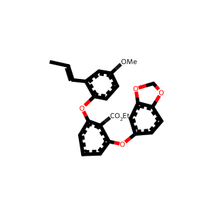 CC=Cc1cc(OC)ccc1Oc1cccc(Oc2ccc3c(c2)OCO3)c1C(=O)OCC